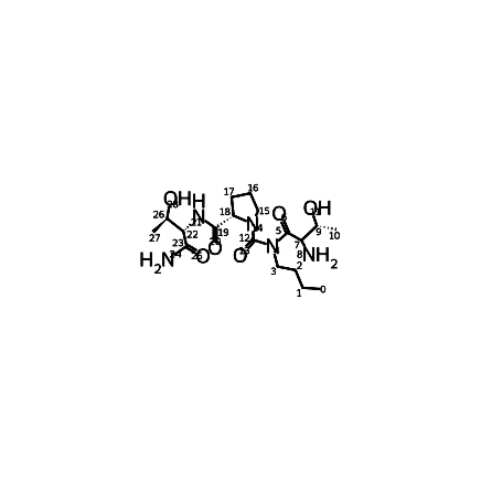 CCCCN(C(=O)C(N)[C@@H](C)O)C(=O)N1CCC[C@H]1C(=O)N[C@H](C(N)=O)[C@@H](C)O